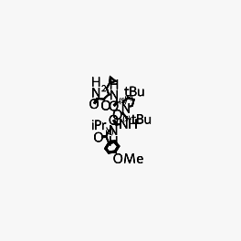 COc1ccc(C(=O)[C@@H](NC(=O)N[C@H](C(=O)N2CC[C@H](C(C)(C)C)[C@H]2C(=O)NC(CC2CC2)C(=O)C(N)=O)C(C)(C)C)C(C)C)cc1